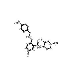 CC(C)COc1ccc(CNCc2ccc(F)cc2C(=O)NC2CCN(C#N)CC2F)cc1